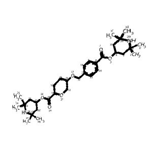 CC1(C)CC(OC(=O)c2ccc(COC3CCC(C(=O)OC4CC(C)(C)NC(C)(C)C4)OC3)cc2)CC(C)(C)N1